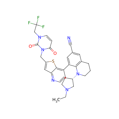 CCN1CC[C@H](N2CCCc3cc(C#N)cc(-c4ccnc5cc(Cn6c(=O)ccn(CC(F)(F)F)c6=O)sc45)c32)C1